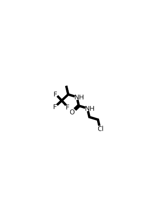 CC(NC(=O)NCCCl)C(F)(F)F